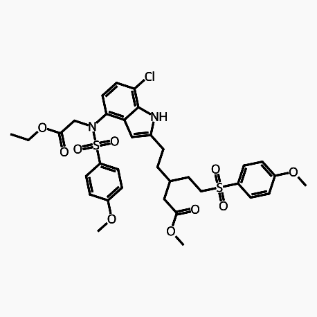 CCOC(=O)CN(c1ccc(Cl)c2[nH]c(CCC(CCS(=O)(=O)c3ccc(OC)cc3)CC(=O)OC)cc12)S(=O)(=O)c1ccc(OC)cc1